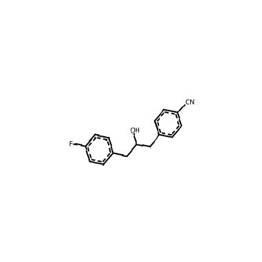 N#Cc1ccc([CH]C(O)Cc2ccc(F)cc2)cc1